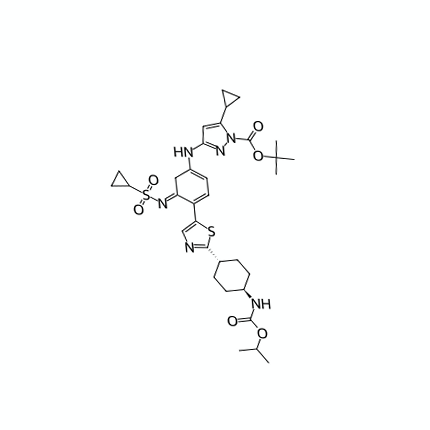 CC(C)OC(=O)N[C@H]1CC[C@H](c2ncc(C3=CC=C(Nc4cc(C5CC5)n(C(=O)OC(C)(C)C)n4)CC3=NS(=O)(=O)C3CC3)s2)CC1